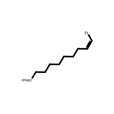 CC/C=C\CCCCCCCCCCCCCC